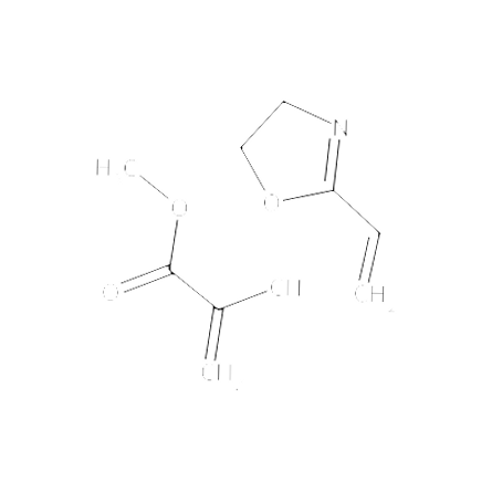 C=C(C)C(=O)OC.C=CC1=NCCO1